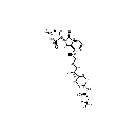 CC(C)(C)OC(=O)NC1CCN(C(=O)CCCNc2cccc3c2CN(C2CCC(=O)NC2=O)C3=O)CC1